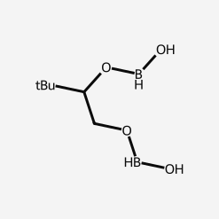 CC(C)(C)C(COBO)OBO